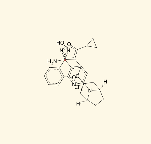 NC(=NO)c1ccc(N2[C@@H]3CC[C@H]2CC(OCc2c(-c4ccccc4OC(F)(F)F)noc2C2CC2)C3)nc1